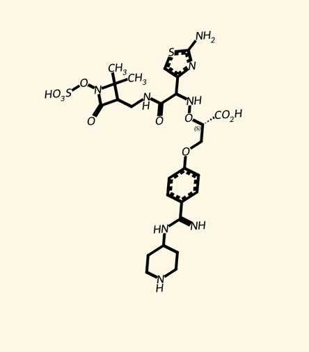 CC1(C)C(CNC(=O)C(NO[C@@H](COc2ccc(C(=N)NC3CCNCC3)cc2)C(=O)O)c2csc(N)n2)C(=O)N1OS(=O)(=O)O